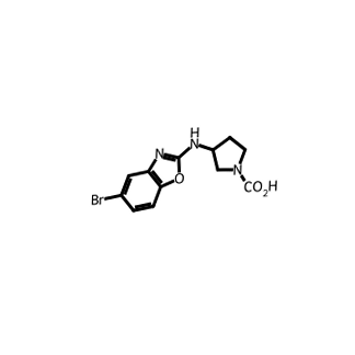 O=C(O)N1CCC(Nc2nc3cc(Br)ccc3o2)C1